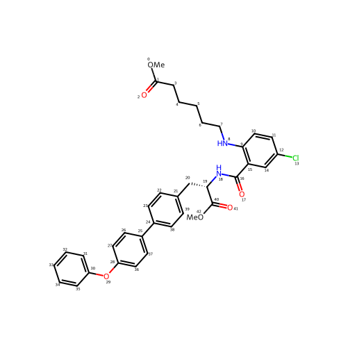 COC(=O)CCCCCNc1ccc(Cl)cc1C(=O)N[C@@H](Cc1ccc(-c2ccc(Oc3ccccc3)cc2)cc1)C(=O)OC